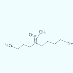 NCCCCNCCCO.O=CO